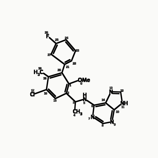 COc1c(C(C)Nc2ncnc3[nH]cnc23)cc(Cl)c(C)c1-c1cccc(F)c1